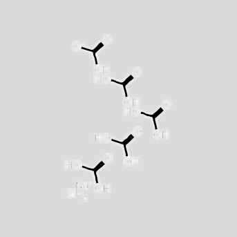 O=C(O)O.O=C(O)O.O=C(O)O.O=C(O)O.O=C([O-])O.[Na+].[SiH4]